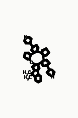 CC1(C)c2ccccc2-c2cc3c(cc21)Oc1ccccc1-c1cc(-c2ccncc2)ccc1-c1ccccc1-c1ccc(-c2ccncc2)cc1-3